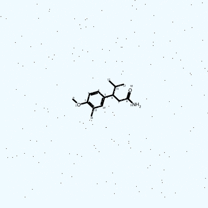 COc1ccc(C(CC(N)=O)C(C)C)cc1C